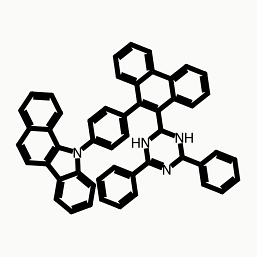 c1ccc(C2=NC(c3ccccc3)NC(c3c(-c4ccc(-n5c6ccccc6c6ccc7ccccc7c65)cc4)c4ccccc4c4ccccc34)N2)cc1